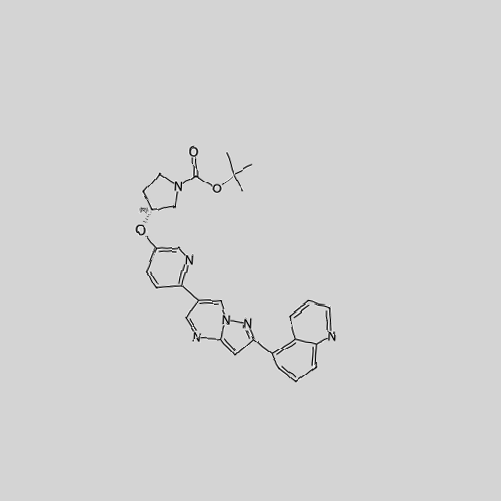 CC(C)(C)OC(=O)N1CC[C@@H](Oc2ccc(-c3cnc4cc(-c5cccc6ncccc56)nn4c3)nc2)C1